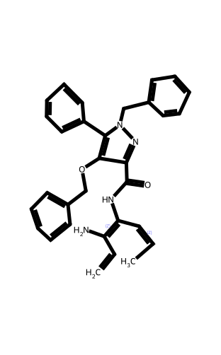 C=C/C(N)=C(\C=C/C)NC(=O)c1nn(Cc2ccccc2)c(-c2ccccc2)c1OCc1ccccc1